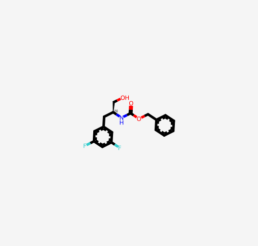 O=C(N[C@H](CO)Cc1cc(F)cc(F)c1)OCc1ccccc1